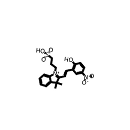 CC1(C)C(/C=C/c2cc([N+](=O)[O-])ccc2O)=[N+](CCCS(=O)(=O)O)c2ccccc21